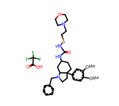 COc1ccc(C23CCC(NC(=O)NSCCN4CCOCC4)CC2N(Cc2ccccc2)CC3)cc1OC.O=C(O)C(F)(F)F